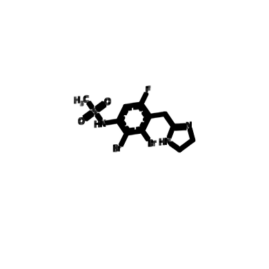 CS(=O)(=O)Nc1cc(F)c(CC2=NCCN2)c(Br)c1Br